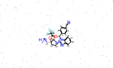 N#Cc1ccc(Cn2c(N3CC[C@@](CN)(OC(=O)C(F)(F)F)C3)nc3ccccc32)cc1